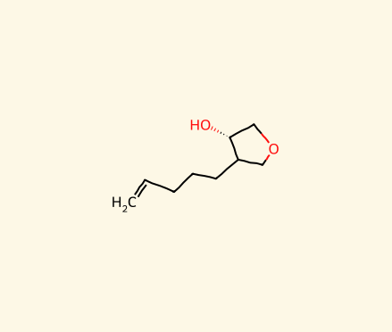 C=CCCCC1COC[C@H]1O